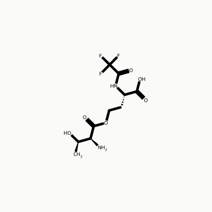 C[C@@H](O)[C@H](N)C(=O)OCC[C@H](NC(=O)C(F)(F)F)C(=O)O